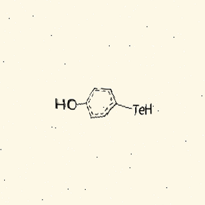 Oc1ccc([TeH])cc1